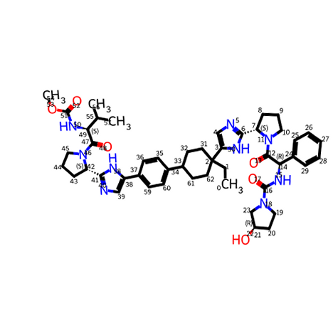 CCC1(c2cnc([C@@H]3CCCN3C(=O)[C@H](NC(=O)N3CC[C@@H](O)C3)c3ccccc3)[nH]2)CCC(c2ccc(-c3cnc([C@@H]4CCCN4C(=O)[C@@H](NC(=O)OC)C(C)C)[nH]3)cc2)CC1